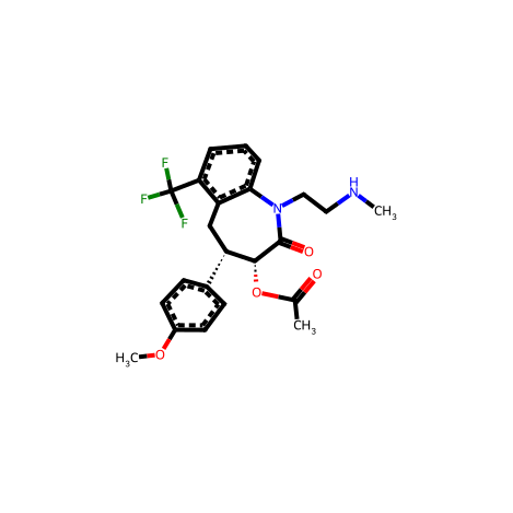 CNCCN1C(=O)[C@H](OC(C)=O)[C@H](c2ccc(OC)cc2)Cc2c1cccc2C(F)(F)F